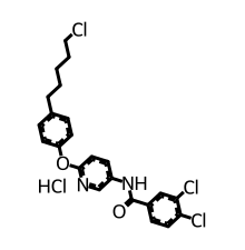 Cl.O=C(Nc1ccc(Oc2ccc(CCCCCCl)cc2)nc1)c1ccc(Cl)c(Cl)c1